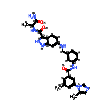 Cc1cncn1-c1cc(C(=O)Nc2cccc(CNc3ccc4c(C(=O)NC(C)C(N)=O)[nH]nc4c3)c2)cc(C(F)(F)F)c1